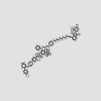 CC1(C)CCC(c2ccc(Cl)cc2)=C(CN2CCN(c3ccc(C(=O)NS(=O)(=O)c4ccc(N[C@H](CCN5CCN(CCCCCCCCCC#Cc6cccc7c6C(=O)N(C6CCC(=O)NC6=O)C7=O)CC5)CSc5ccccc5)c(S(=O)(=O)C(F)(F)F)c4)cc3)CC2)C1